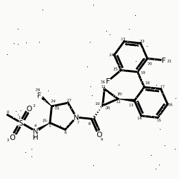 CS(=O)(=O)N[C@@H]1CN(C(=O)[C@@H]2C[C@H]2c2ccccc2-c2c(F)cccc2F)C[C@@H]1F